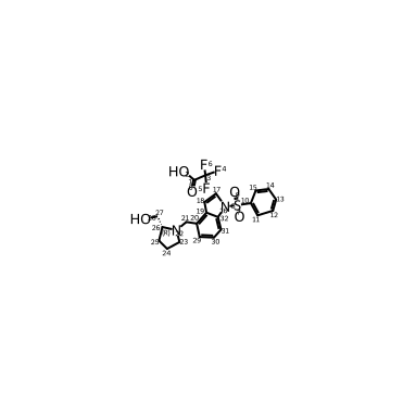 O=C(O)C(F)(F)F.O=S(=O)(c1ccccc1)n1ccc2c(CN3CCC[C@@H]3CO)cccc21